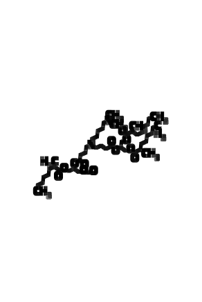 CCCCCCC(C)C(=O)OCC(COC=O)OC(=O)CCCN(CCCCCN(C)C)CCCC(=O)OC(COC(=O)C(C)CCCCCC)COC(=O)C(C)CCCCCC